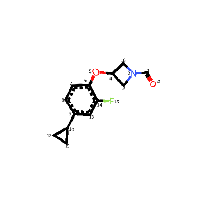 O=CN1CC(Oc2ccc(C3CC3)cc2F)C1